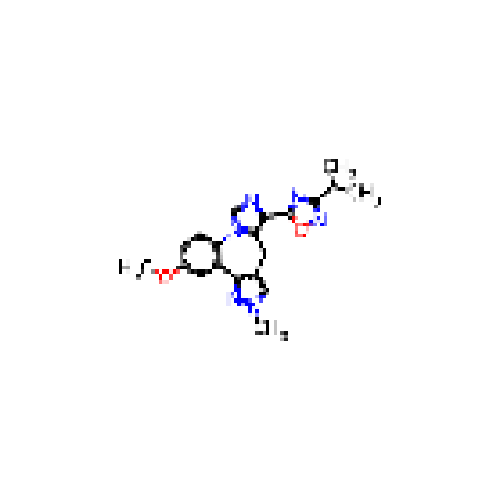 COc1ccc2c(c1)-c1nn(C)cc1Cc1c(-c3nc(C(C)C)no3)ncn1-2